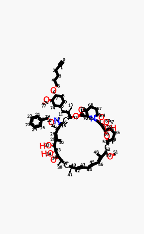 C#CCCCCO[C@@H]1CC[C@@H](C[C@@H](C)[C@@H]2C/C(=N/OCc3ccccc3)[C@H](C)/C=C(\C)[C@@H](O)[C@@H](O)C(=O)[C@H](C)C[C@H](C)/C=C/C=C/C=C(\C)[C@@H](OC)C[C@@H]3CC[C@@H](C)[C@@](O)(O3)C(=O)C(=O)N3CCCC[C@H]3C(=O)O2)C[C@H]1OC